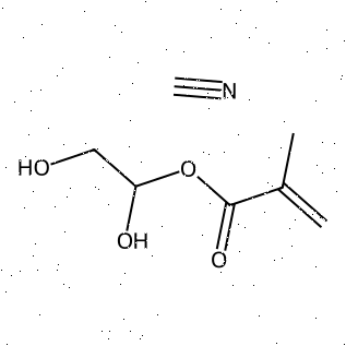 C#N.C=C(C)C(=O)OC(O)CO